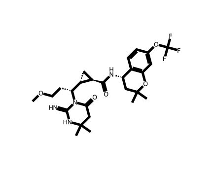 COCC[C@H]([C@@H]1C[C@H]1C(=O)N[C@H]1CC(C)(C)Oc2cc(OC(F)(F)F)ccc21)N1C(=N)NC(C)(C)CC1=O